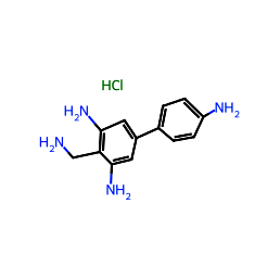 Cl.NCc1c(N)cc(-c2ccc(N)cc2)cc1N